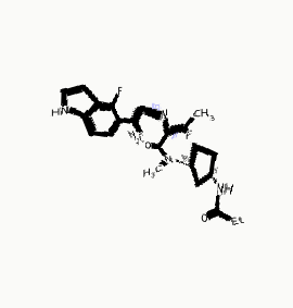 C=C(/C=N\C(C(=O)N(C)[C@@H]1CC[C@H](NC(=O)CC)C1)=C(/C)F)c1ccc2[nH]ccc2c1F